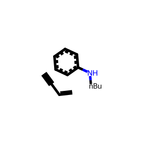 C#CC=C.CCCCNc1ccccc1